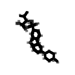 CC(C)[C@H](NS(=O)(=O)c1ccc2c(c1)oc1ccc(N3CCN(C)CC3)cc12)C(=O)O